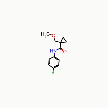 COCC1(C(=O)Nc2ccc(F)cc2)CC1